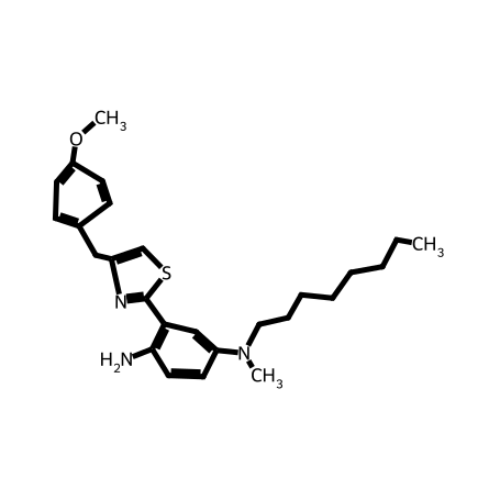 CCCCCCCCN(C)c1ccc(N)c(-c2nc(Cc3ccc(OC)cc3)cs2)c1